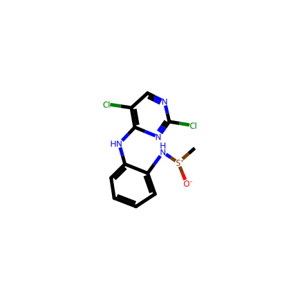 C[S+]([O-])Nc1ccccc1Nc1nc(Cl)ncc1Cl